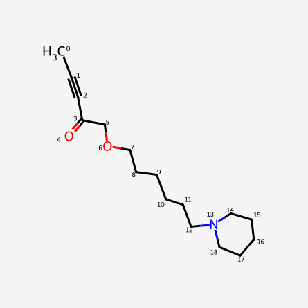 CC#CC(=O)COCCCCCCN1CCCCC1